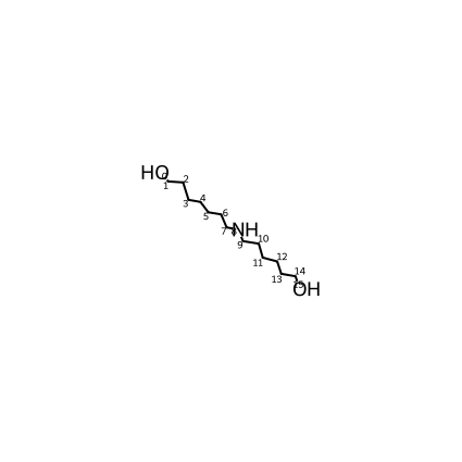 OCCCCCCCNCCCCCCO